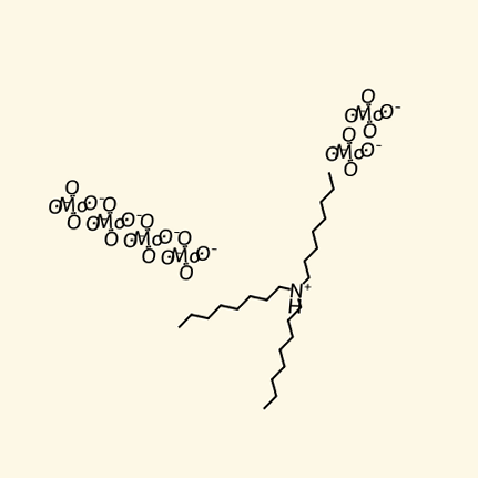 CCCCCCCC[NH+](CCCCCCCC)CCCCCCCC.[O]=[Mo](=[O])([O-])[O-].[O]=[Mo](=[O])([O-])[O-].[O]=[Mo](=[O])([O-])[O-].[O]=[Mo](=[O])([O-])[O-].[O]=[Mo](=[O])([O-])[O-].[O]=[Mo](=[O])([O-])[O-]